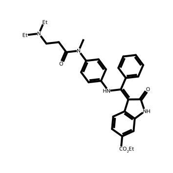 CCOC(=O)c1ccc2c(c1)NC(=O)C2=C(Nc1ccc(N(C)C(=O)CCN(CC)CC)cc1)c1ccccc1